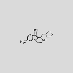 Cc1ccc2[nH]c3c(c2c1)CCNC3CC1CCCCC1.Cl